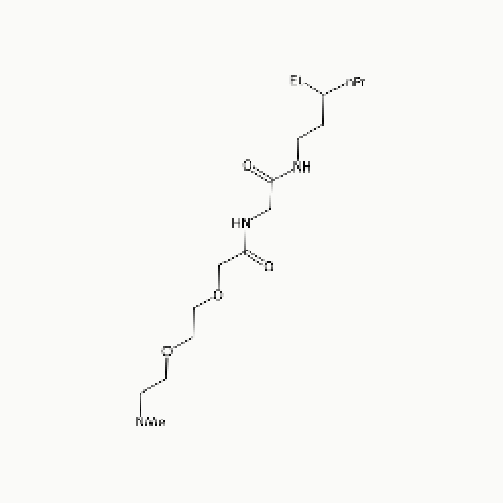 CCCC(CC)CCNC(=O)CNC(=O)COCCOCCNC